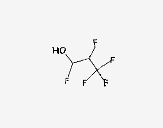 OC(F)[C](F)C(F)(F)F